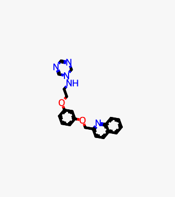 C1=NC=NCN1NCCOc1cccc(OCc2ccc3ccccc3n2)c1